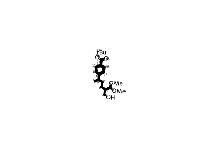 COC(OC)C(CO)CCC(C)c1ccc(C(=O)OC(C)(C)C)cc1